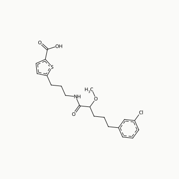 COC(CCCc1cccc(Cl)c1)C(=O)NCCCc1ccc(C(=O)O)s1